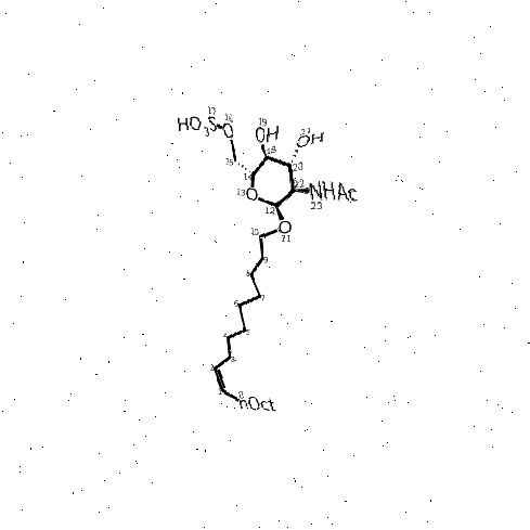 CCCCCCCC/C=C\CCCCCCCCO[C@H]1O[C@H](COS(=O)(=O)O)[C@@H](O)[C@H](O)[C@H]1NC(C)=O